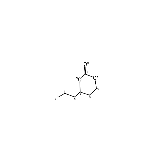 O=C1OCCC(CCI)O1